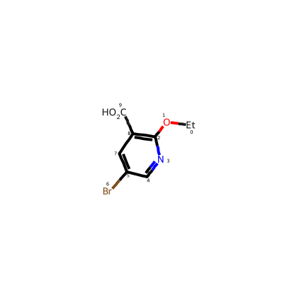 CCOc1ncc(Br)cc1C(=O)O